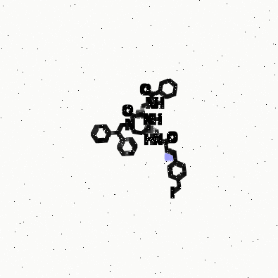 O=C(/C=C/c1ccc(CI)cc1)NC[C@@H]1CCN(CC(c2ccccc2)c2ccccc2)C(=O)[C@H](CNC(=O)C2CCCCC2)N1